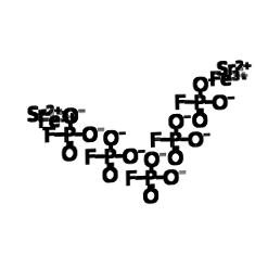 O=P([O-])([O-])F.O=P([O-])([O-])F.O=P([O-])([O-])F.O=P([O-])([O-])F.O=P([O-])([O-])F.[Fe+3].[Fe+3].[Sr+2].[Sr+2]